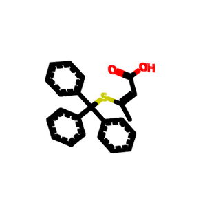 C/C(=C/C(=O)O)SC(c1ccccc1)(c1ccccc1)c1ccccc1